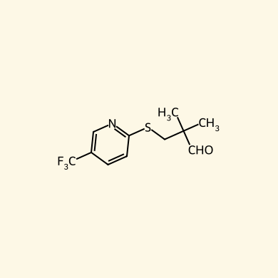 CC(C)(C=O)CSc1ccc(C(F)(F)F)cn1